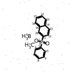 B.COP(=O)(c1ccccc1)c1ccc2ccccc2c1